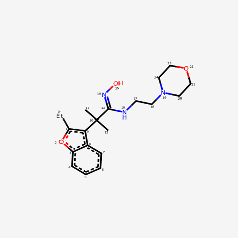 CCc1oc2ccccc2c1C(C)(C)C(=NO)NCCN1CCOCC1